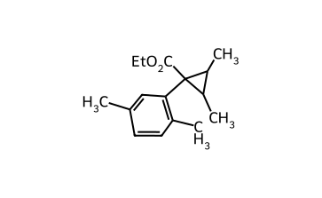 CCOC(=O)C1(c2cc(C)ccc2C)C(C)C1C